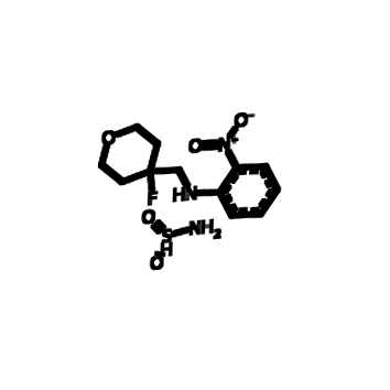 N[SH](=O)=O.O=[N+]([O-])c1ccccc1NCC1(F)CCOCC1